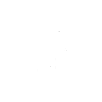 Brc1cncc(C2=CCC[C@@H]3CN[C@H]23)c1